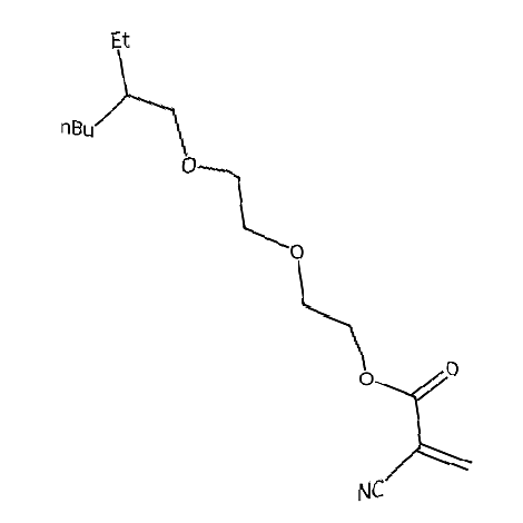 C=C(C#N)C(=O)OCCOCCOCC(CC)CCCC